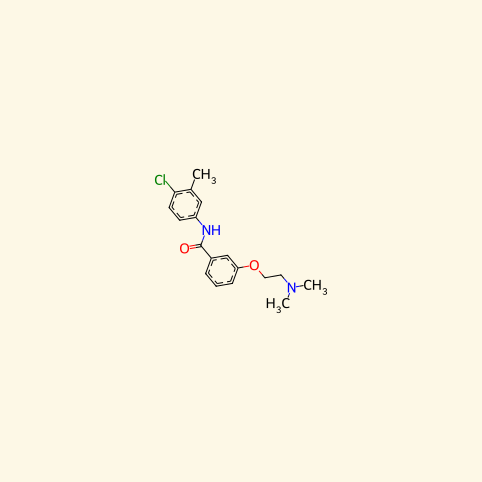 Cc1cc(NC(=O)c2cccc(OCCN(C)C)c2)ccc1Cl